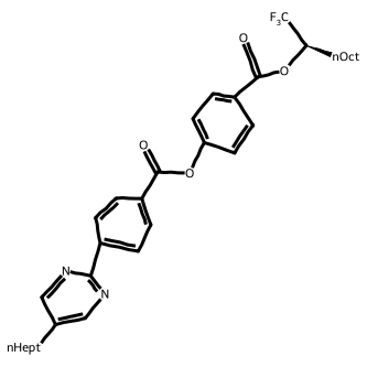 CCCCCCCC[C@@H](OC(=O)c1ccc(OC(=O)c2ccc(-c3ncc(CCCCCCC)cn3)cc2)cc1)C(F)(F)F